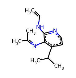 C=CNc1nccc(C(C)C)c1N=C(C)C